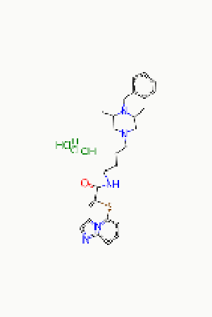 CC1CN(CCCCNC(=O)C2=Cc3cnc4cccc(n34)S2)CC(C)N1Cc1ccccc1.Cl.Cl.Cl